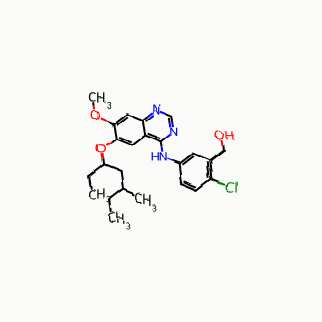 CCC(C)CC(CC)Oc1cc2c(Nc3ccc(Cl)c(CO)c3)ncnc2cc1OC